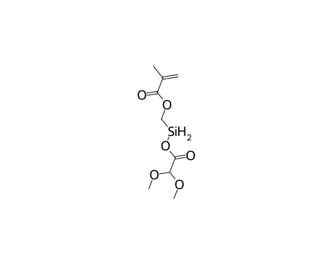 C=C(C)C(=O)OC[SiH2]OC(=O)C(OC)OC